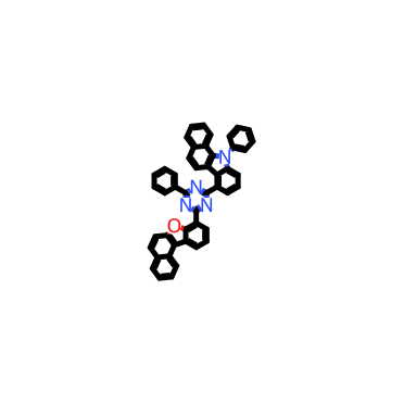 c1ccc(-c2nc(-c3cccc4c3oc3ccc5ccccc5c34)nc(-c3cccc4c3c3ccc5ccccc5c3n4-c3ccccc3)n2)cc1